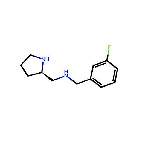 Fc1cccc(CNC[C@H]2CCCN2)c1